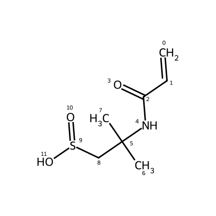 C=CC(=O)NC(C)(C)CS(=O)O